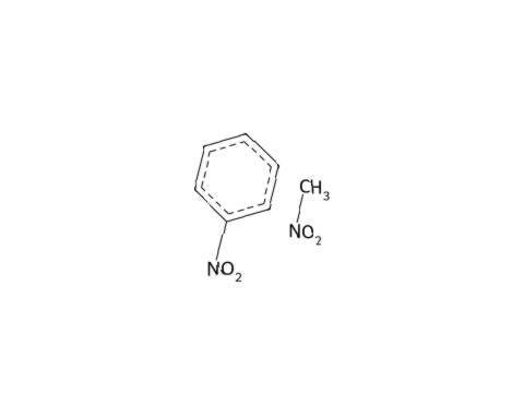 C[N+](=O)[O-].O=[N+]([O-])c1ccccc1